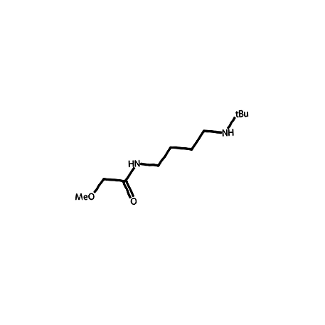 COCC(=O)NCCCCNC(C)(C)C